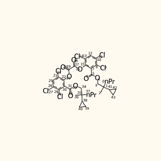 CCCC(C)(COC(=O)c1c(Cl)c(Cl)cc(Cl)c1OC(=O)C(=O)Oc1c(Cl)cc(Cl)c(Cl)c1C(=O)OCC(C)(CCC)C1CC1)C1CC1